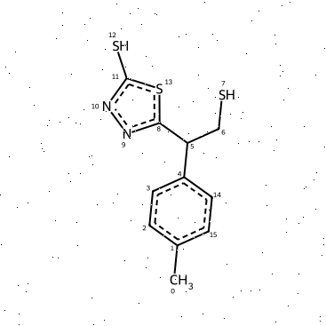 Cc1ccc(C(CS)c2nnc(S)s2)cc1